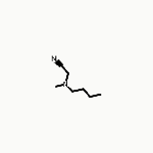 CCCCN(C)CC#N